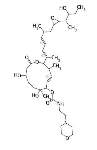 CCC(O)C(C)C1OC1CC(C)/C=C/C=C(\C)C1OC(=O)CC(O)CCC(C)(O)C(OC(=O)NCCN2CCOCC2)/C=C/C1C